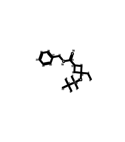 CCC1(O[Si](C)(C)C(C)(C)C)CC(C(=O)OCc2ccccc2)C1